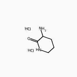 Cl.Cl.NC1CCCNC1=O